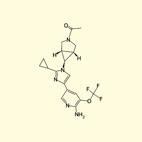 CC(=O)N1C[C@@H]2[C@H](C1)[C@H]2n1cc(-c2cnc(N)c(OC(F)(F)F)c2)nc1C1CC1